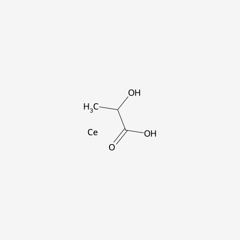 CC(O)C(=O)O.[Ce]